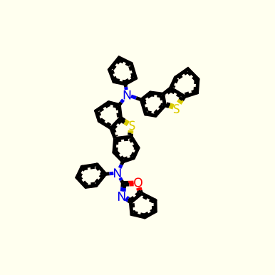 c1ccc(N(c2ccc3sc4c(N(c5ccccc5)c5ccc6sc7ccccc7c6c5)cccc4c3c2)c2nc3ccccc3o2)cc1